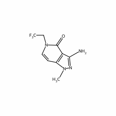 Cn1nc(N)c2c(=O)n(CC(F)(F)F)ccc21